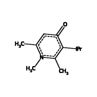 Cc1cc(=O)c(C(C)C)c(C)n1C